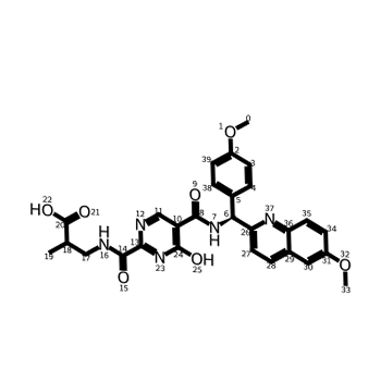 COc1ccc([C@H](NC(=O)c2cnc(C(=O)NCC(C)C(=O)O)nc2O)c2ccc3cc(OC)ccc3n2)cc1